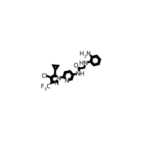 Nc1ccccc1NCC(=O)Nc1ccc(-n2nc(C(F)(F)F)c(Cl)c2C2CC2)nc1